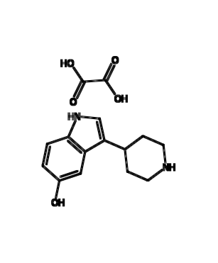 O=C(O)C(=O)O.Oc1ccc2[nH]cc(C3CCNCC3)c2c1